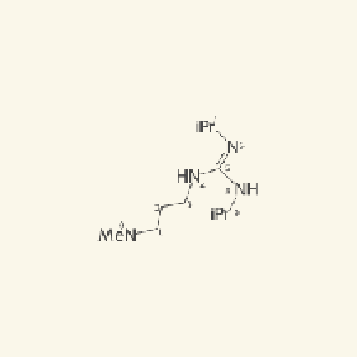 CNCCCN/C(=N\C(C)C)NC(C)C